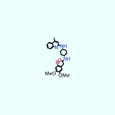 COc1cc(Br)c(CC(=O)N[C@H]2CC[C@@H](Nc3cc(C)c4ccccc4n3)CC2)cc1OC